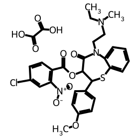 CCN(C)CCN1C(=O)C(OC(=O)c2ccc(Cl)cc2[N+](=O)[O-])C(c2ccc(OC)cc2)Sc2ccccc21.O=C(O)C(=O)O